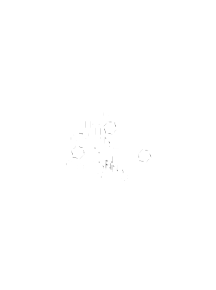 COc1c(C)cc2c(c1O)[C@@H]1C3Cc4c(OC(C)=O)c(C)c5c(c4[C@H](CNC(=O)C(C)NC(=O)CCc4ccccc4)N3[C@@H](C#N)[C@H](C2)N1C)OCO5